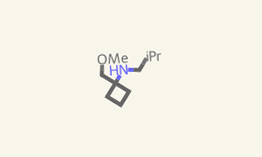 COCC1(NCC(C)C)CCC1